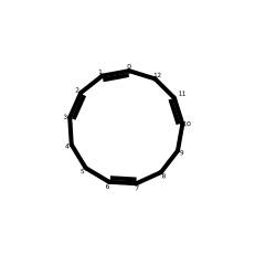 [C]1=CC=CCCC=CCCC=CC1